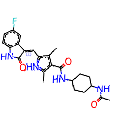 CC(=O)NC1CCC(NC(=O)c2c(C)[nH]c(/C=C3\C(=O)Nc4ccc(F)cc43)c2C)CC1